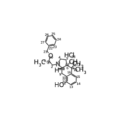 C[C@@H](CN1CC[C@]2(C)[C@@H]1Cc1c(O)cccc1C2(C)C)OCc1ccccc1.Cl